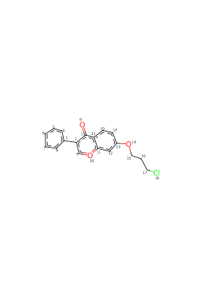 O=c1c(-c2ccccc2)coc2cc(OCCCCl)ccc12